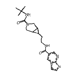 CC(C)(C)NC(=O)N1CC2C(CCNC(=O)c3cnc4nccn4c3)C2C1